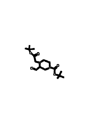 CC(C)(C)OC(=O)CN1CCN(C(=O)OC(C)(C)C)CC1CCl